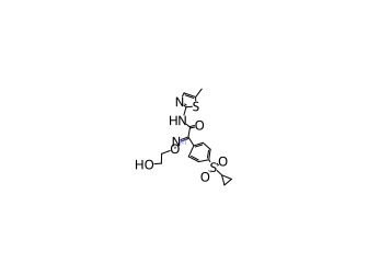 Cc1cnc(NC(=O)/C(=N/OCCO)c2ccc(S(=O)(=O)C3CC3)cc2)s1